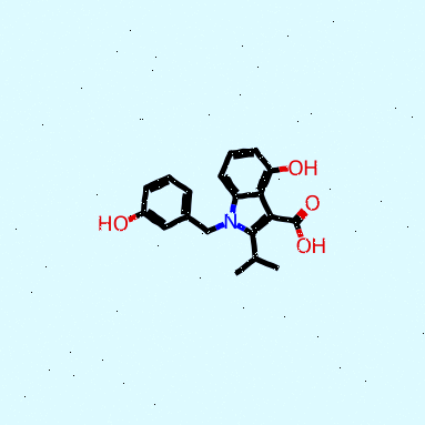 CC(C)c1c(C(=O)O)c2c(O)cccc2n1Cc1cccc(O)c1